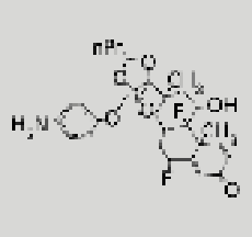 CCCC1OC2CC3C4C[C@H](F)C5=CC(=O)C=CC5(C)[C@@]4(F)C(O)CC3(C)C2(C(=O)COc2ccc(N)cc2)O1